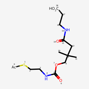 CC(=O)SCCNC(=O)OCC(C)(C)CC(=O)NCCC(=O)O